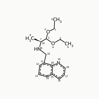 CCOC(OCC)[C@H](C)NCc1cccc2cccnc12